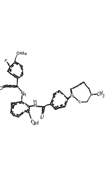 COc1ccc(C(=O)Nc2cccc(O)c2NC(=O)c2ccc(N3CCCN(C)CC3)cc2)cc1F